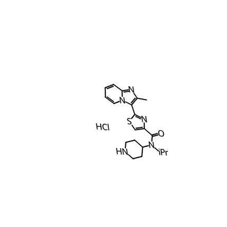 Cc1nc2ccccn2c1-c1nc(C(=O)N(C(C)C)C2CCNCC2)cs1.Cl